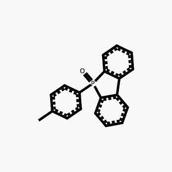 Cc1ccc(P2(=O)c3ccccc3-c3ccccc32)cc1